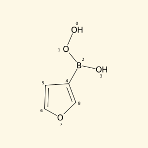 OOB(O)c1ccoc1